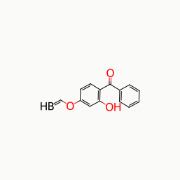 B=COc1ccc(C(=O)c2ccccc2)c(O)c1